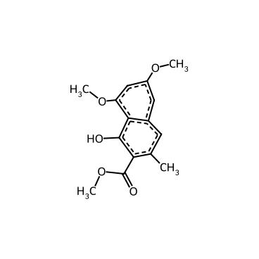 COC(=O)c1c(C)cc2cc(OC)cc(OC)c2c1O